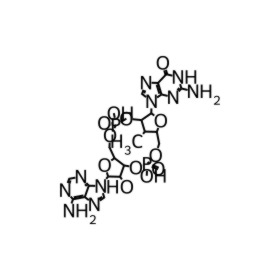 CC1C2COP(=O)(O)OC3C(COP(=O)(O)OC1C(n1cnc4c(=O)[nH]c(N)nc41)O2)OC(n1cnc2c(N)ncnc21)C3O